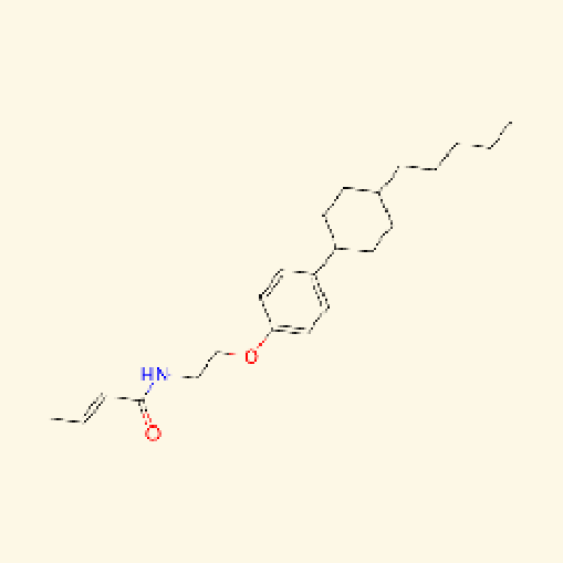 C/C=C/C(=O)NCCOc1ccc(C2CCC(CCCCC)CC2)cc1